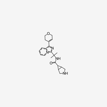 CC(C)(NC(=O)C1C2CNCC21)c1nc(C2=CCOCC2)c2ccccn12